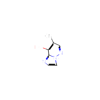 [C-]#[N+]c1cnn2ccnc2c1O